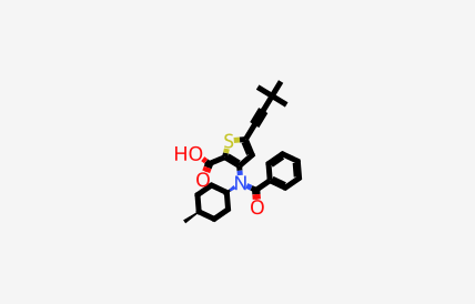 CC(C)(C)C#Cc1cc(N(C(=O)c2ccccc2)[C@H]2CC[C@@H](C)CC2)c(C(=O)O)s1